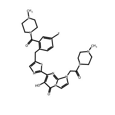 CN1CCN(C(=O)Cn2ccn3c(=O)c(O)c(-c4ncc(Cc5ccc(F)cc5C(=O)N5CCN(C)CC5)s4)nc23)CC1